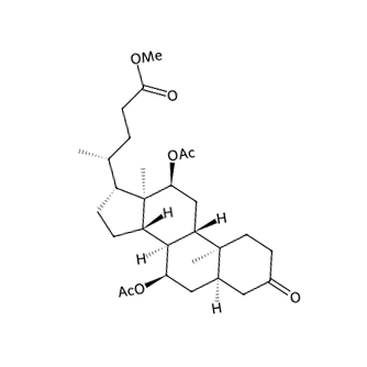 COC(=O)CC[C@@H](C)[C@H]1CC[C@H]2[C@@H]3[C@H](OC(C)=O)C[C@@H]4CC(=O)CC[C@]4(C)[C@H]3C[C@H](OC(C)=O)[C@]12C